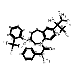 CC(F)C(O)(c1ccc2c(c1)CC[C@H](Oc1ccccc1C(F)(F)F)CN2C(=O)[C@@H](C)c1ccccc1)C(F)(F)F